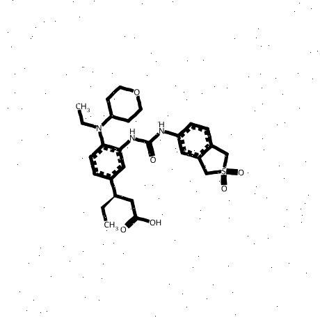 CC[C@H](CC(=O)O)c1ccc(N(CC)C2CCOCC2)c(NC(=O)Nc2ccc3c(c2)CS(=O)(=O)C3)c1